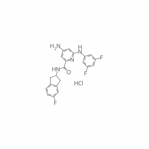 Cl.Nc1cc(Nc2cc(F)cc(F)c2)nc(C(=O)NC2Cc3ccc(F)cc3C2)c1